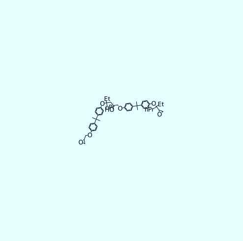 CCCC(CC)(CC(O)COc1ccc(C(C)(C)c2ccc(OC(CC)(CCC)C3CO3)cc2)cc1)Oc1ccc(C(C)(C)c2ccc(OCC3CO3)cc2)cc1